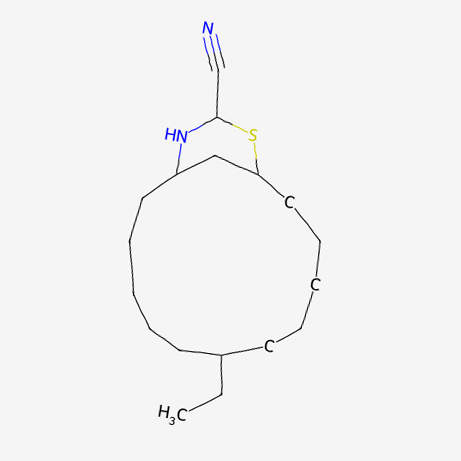 CCC1CCCCCC2CC(CCCCC1)SC(C#N)N2